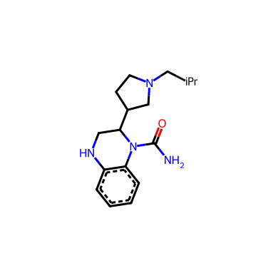 CC(C)CN1CCC(C2CNc3ccccc3N2C(N)=O)C1